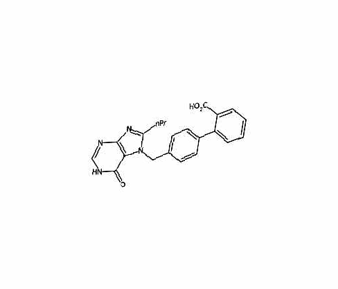 CCCc1nc2nc[nH]c(=O)c2n1Cc1ccc(-c2ccccc2C(=O)O)cc1